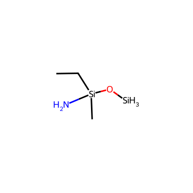 CC[Si](C)(N)O[SiH3]